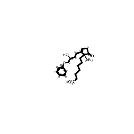 CCCC[C@]1(CCCCCCC(=O)O)C(=O)CC=C1CC[C@H](O)COc1ccccc1